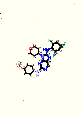 CCO[C@H]1CC[C@H](Nc2ncc3nc(Nc4c(F)cc(F)cc4F)n(C4CCOCC4)c3n2)CC1